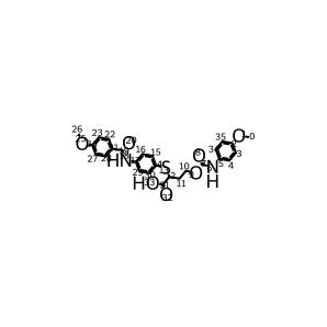 COc1ccc(NC(=O)OCCC(Sc2ccc(NC(=O)c3ccc(OC)cc3)cc2)C(=O)O)cc1